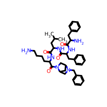 CC(C)CC(NC(=O)C(Cc1ccccc1)NC(=O)C(N)Cc1ccccc1)C(=O)NC(CCCCN)C(=O)N1CC2CC1CN2Cc1ccccc1